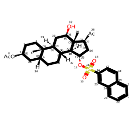 CC(=O)O[C@H]1CC[C@@]2(C)[C@H](CC[C@H]3[C@@H]4[C@@H](OS(=O)(=O)c5ccc6ccccc6c5)C[C@H](C(C)=O)[C@@]4(C)[C@H](O)C[C@@H]32)C1